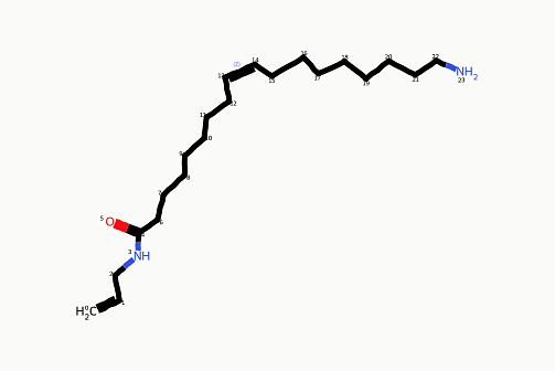 C=CCNC(=O)CCCCCCC/C=C\CCCCCCCCN